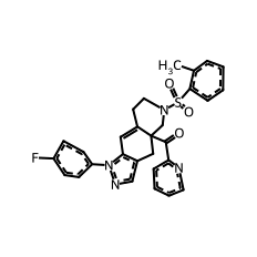 Cc1ccccc1S(=O)(=O)N1CCC2=Cc3c(cnn3-c3ccc(F)cc3)CC2(C(=O)c2ccccn2)C1